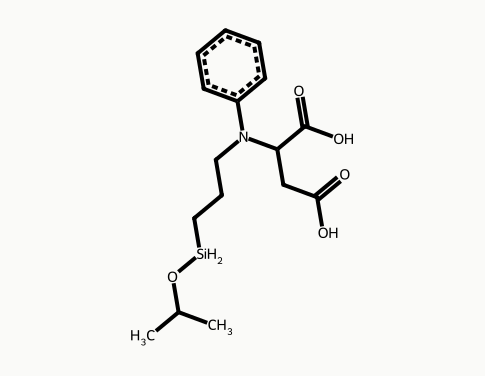 CC(C)O[SiH2]CCCN(c1ccccc1)C(CC(=O)O)C(=O)O